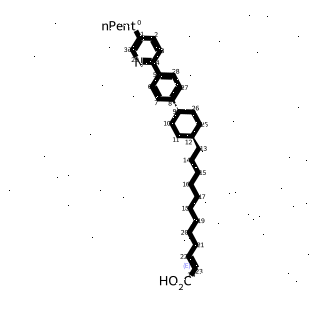 CCCCCc1ccc(-c2ccc([C@H]3CC[C@H](CCCCCCCCC/C=C/C(=O)O)CC3)cc2)nc1